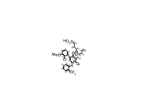 COc1cccc(-c2cn(Cc3ccccc3C(F)(F)F)c(=O)n(C[C@@H](CC(C)C)NCCCC(=O)O)c2=O)c1Cl